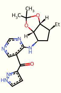 CC[C@H]1C[C@@H](Nc2ncncc2C(=O)c2cc[nH]n2)[C@@H]2OC(C)(C)O[C@H]12